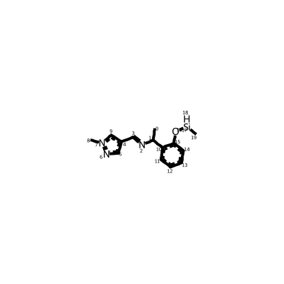 CC(N=Cc1cnn(C)c1)c1ccccc1O[SiH](C)C